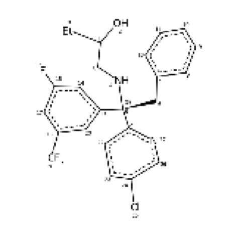 CCC(O)CN[C@@](Cc1ccccc1)(c1cc(F)cc(C(F)(F)F)c1)c1ccc(Cl)cn1